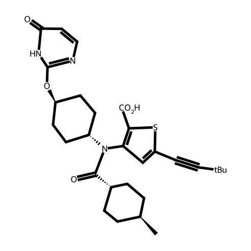 CC(C)(C)C#Cc1cc(N(C(=O)[C@H]2CC[C@H](C)CC2)[C@H]2CC[C@H](Oc3nccc(=O)[nH]3)CC2)c(C(=O)O)s1